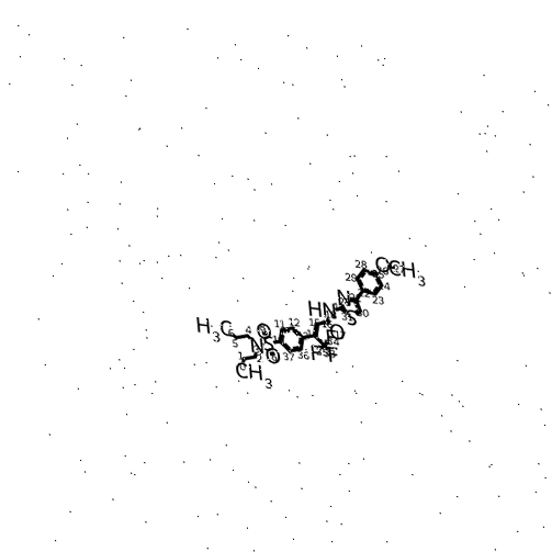 CCCN(CCC)S(=O)(=O)c1ccc(/C(=C/C(=O)Nc2nc(-c3ccc(OC)cc3)cs2)C(F)(F)F)cc1